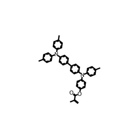 C=C(C)C(=O)Oc1ccc(N(c2ccc(C)cc2)c2ccc(-c3ccc(N(c4ccc(C)cc4)c4ccc(C)cc4)cc3)cc2)cc1